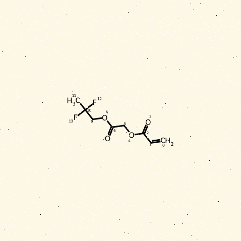 C=CC(=O)OCC(=O)OCC(C)(F)F